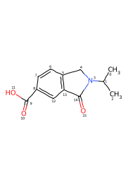 CC(C)N1Cc2ccc(C(=O)O)cc2C1=O